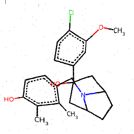 COc1cc(C2(O)CC3CCC(C2)N3Cc2ccc(O)c(C)c2C)ccc1Cl